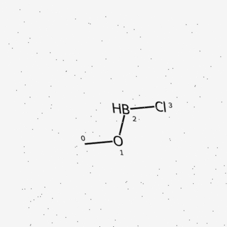 COBCl